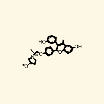 CO[C@@H]1CCN([C@@H](C)COc2ccc(C3Oc4ccc(O)cc4C(C)=C3c3cccc(O)c3)cc2)C1